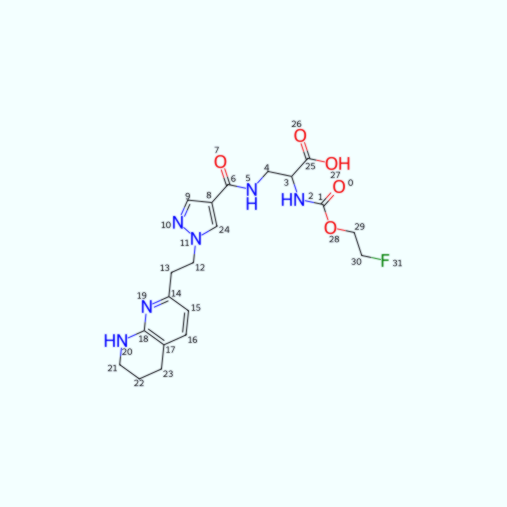 O=C(NC(CNC(=O)c1cnn(CCc2ccc3c(n2)NCCC3)c1)C(=O)O)OCCF